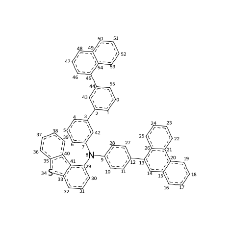 c1cc(-c2cccc(N(c3ccc(-c4cc5ccccc5c5ccccc45)cc3)c3cccc4sc5ccccc5c34)c2)cc(-c2cccc3ccccc23)c1